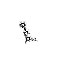 O=[N+]([O-])c1cc(F)cc(N2CCC(F)(C#Cc3ccccn3)C2)c1